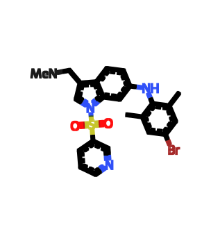 CNCc1cn(S(=O)(=O)c2cccnc2)c2cc(Nc3c(C)cc(Br)cc3C)ccc12